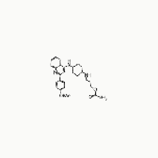 COc1ccc(-c2cc(NC3CCC(NCCCOC(N)=O)CC3)c3ccccc3n2)cc1